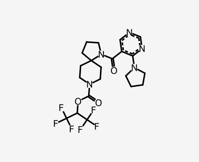 O=C(OC(C(F)(F)F)C(F)(F)F)N1CCC2(CCCN2C(=O)c2cncnc2N2CCCC2)CC1